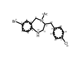 CC(=O)N1Cc2cc(Br)ccc2NCC1Cc1ccc(Cl)cc1